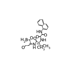 BC(=O)[C@H](CC=O)NC(=O)[C@@H](NC(=O)C(=O)Nc1cccc2ccccc12)C(C)C